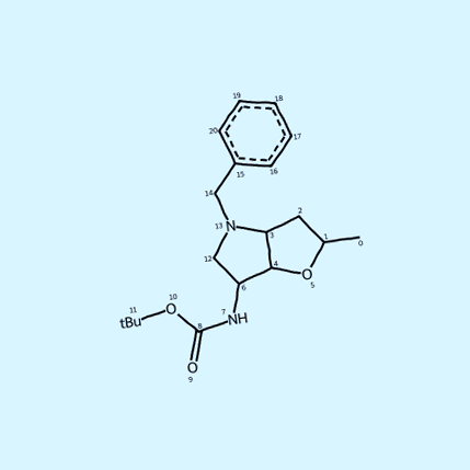 CC1CC2C(O1)C(NC(=O)OC(C)(C)C)CN2Cc1ccccc1